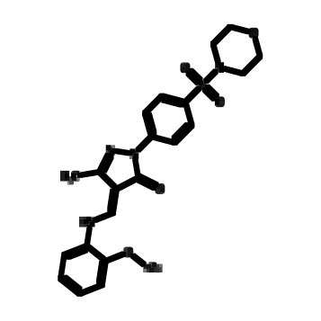 CCCCOc1ccccc1N/C=C1/C(=O)N(c2ccc(S(=O)(=O)N3CCOCC3)cc2)N=C1C